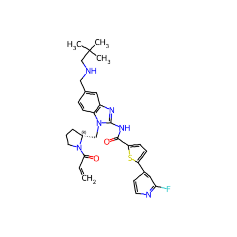 C=CC(=O)N1CCC[C@@H]1Cn1c(NC(=O)c2ccc(-c3ccnc(F)c3)s2)nc2cc(CNCC(C)(C)C)ccc21